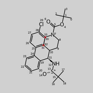 CC(C)(C)OC(=O)N1CCC([C@@H](N[S@@+]([O-])C(C)(C)C)c2ccccc2-c2ccc(Cl)cc2)CC1